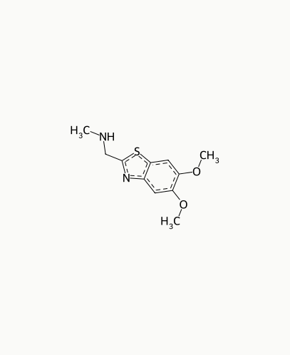 CNCc1nc2cc(OC)c(OC)cc2s1